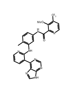 COc1c(C(F)(F)F)ccnc1C(=O)Nc1ccc(C)c(Nc2ncccc2-c2ncnc3[nH]cnc23)c1